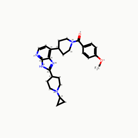 O=C(c1ccc(OC(F)(F)F)cc1)N1CCC(c2ccnc3[nH]c(C4CCN(C5CC5)CC4)nc23)CC1